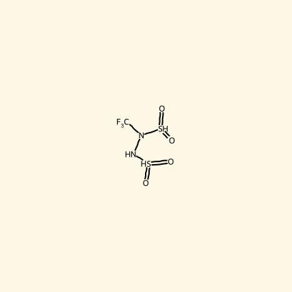 O=[SH](=O)NN([SH](=O)=O)C(F)(F)F